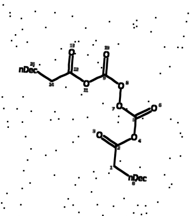 CCCCCCCCCCCC(=O)OC(=O)OOC(=O)OC(=O)CCCCCCCCCCC